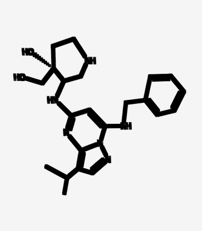 CC(C)c1cnn2c(NCc3ccccc3)cc(NC3CNCC[C@]3(O)CO)nc12